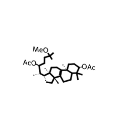 COC(C)(C)CC[C@H](OC(C)=O)[C@@H](C)[C@H]1CC[C@@]2(C)C3=C(CC[C@]12C)[C@@]1(C)CC[C@H](OC(C)=O)C(C)(C)C1CC3